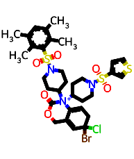 Cc1cc(C)c(C)c(S(=O)(=O)N2CCC([N+]3(C4CCN(S(=O)(=O)c5ccsc5)CC4)C(=O)OCC4=CC(Cl)(Br)CC=C43)CC2)c1C